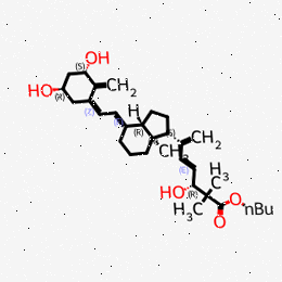 C=C(/C=C/[C@@H](O)C(C)(C)C(=O)OCCCC)[C@H]1CC[C@H]2/C(=C/C=C3/C[C@@H](O)C[C@H](O)C3=C)CCC[C@]12C